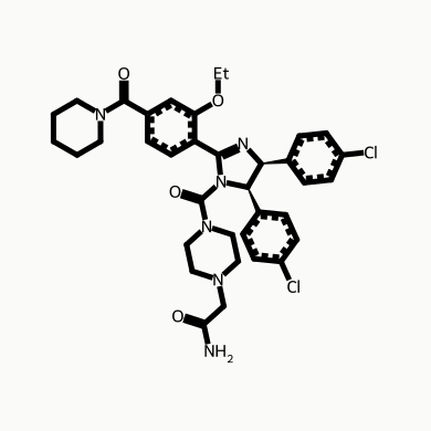 CCOc1cc(C(=O)N2CCCCC2)ccc1C1=N[C@@H](c2ccc(Cl)cc2)[C@@H](c2ccc(Cl)cc2)N1C(=O)N1CCN(CC(N)=O)CC1